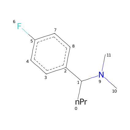 CCCC(c1ccc(F)cc1)N(C)C